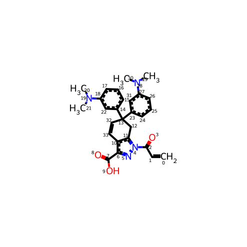 C=CC(=O)n1nc(C(=O)O)c2c1CC(c1cccc(N(C)C)c1)(c1cccc(N(C)C)c1)C=C2